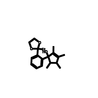 CCC1(c2ccccc2C2(O)C(C)=C(C)C(C)C2C)OCCO1